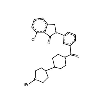 CC(C)N1CCC(C2CCN(C(=O)c3cccc(N4Cc5cccc(Cl)c5C4=O)c3)CC2)CC1